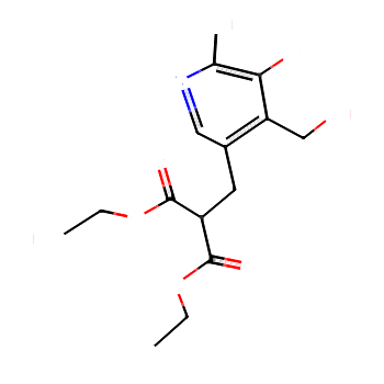 CCOC(=O)C(Cc1cnc(C)c(O)c1CO)C(=O)OCC